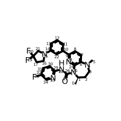 C[C@@H]1CCN(C)c2ccc(-c3cccc(N4CCC(F)(F)C4)c3)nc2N1C(=O)Nc1ccc(F)cn1